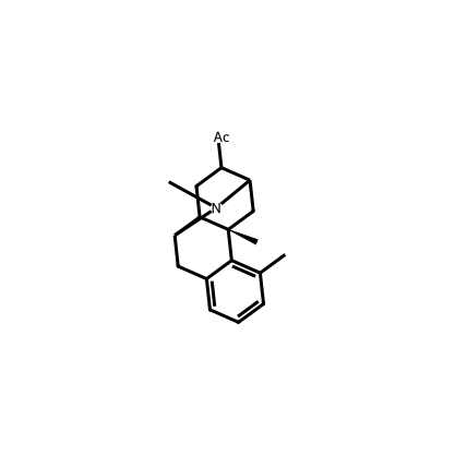 CC(=O)C1CC2C3Cc4cccc(C)c4[C@@]2(C)CC1N3C